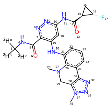 [2H]C([2H])([2H])NC(=O)c1nnc(NC(=O)[C@H]2C[C@@H]2F)cc1Nc1cccc2c1N(C)Cc1c-2nnn1C